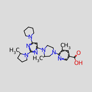 Cc1cc(C(=O)O)cnc1N1CCN(c2cc(N3CCCCC3)nc(N3CCCC3C)n2)C(C)C1